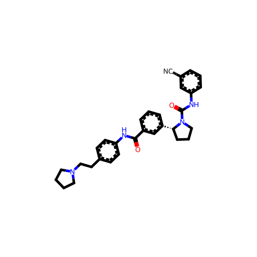 N#Cc1cccc(NC(=O)N2CCC[C@@H]2c2cccc(C(=O)Nc3ccc(CCN4CCCC4)cc3)c2)c1